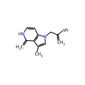 C=C(CCC)Cn1cc(C)c2c1C=CNC2=C